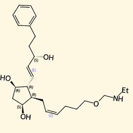 CCNCOCCC/C=C\C[C@@H]1[C@@H](/C=C/[C@@H](O)CCc2ccccc2)[C@H](O)C[C@@H]1O